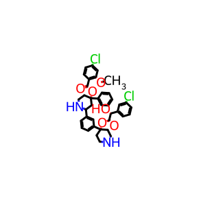 COc1cc(Cl)ccc1C(=O)OC1(c2ccccc2)CCNC(c2cccc(C3(OC(=O)C(O)c4cccc(Cl)c4)CCNCC3)c2)C1